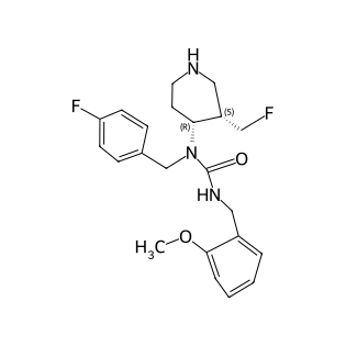 COc1ccccc1CNC(=O)N(Cc1ccc(F)cc1)[C@@H]1CCNC[C@@H]1CF